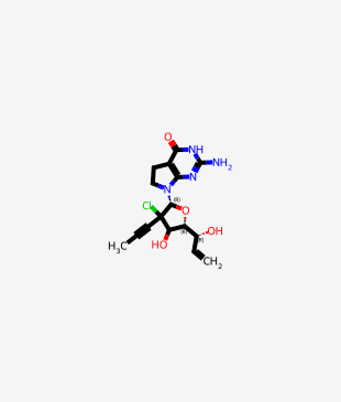 C=C[C@@H](O)[C@H]1O[C@@H](N2CCc3c2nc(N)[nH]c3=O)C(Cl)(C#CC)C1O